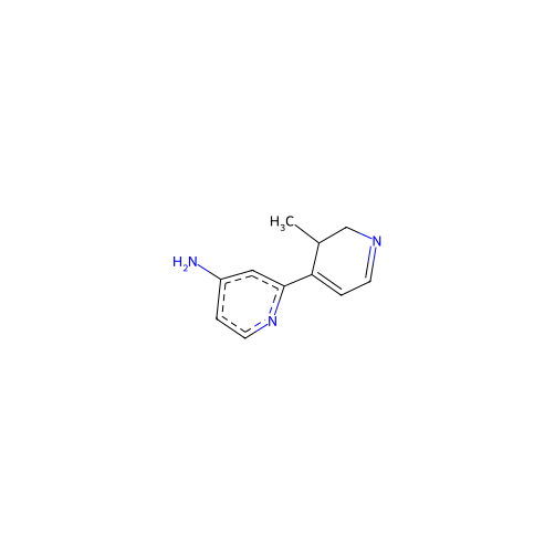 CC1CN=CC=C1c1cc(N)ccn1